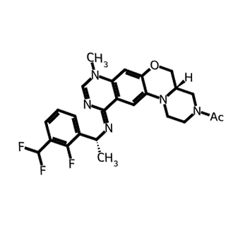 CC(=O)N1CCN2c3cc4/c(=N/[C@H](C)c5cccc(C(F)F)c5F)ncn(C)c4cc3OC[C@@H]2C1